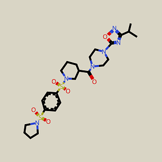 CC(C)c1noc(N2CCN(C(=O)C3CCCN(S(=O)(=O)c4ccc(S(=O)(=O)N5CCCC5)cc4)C3)CC2)n1